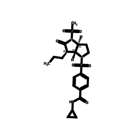 CCC[C@H]1C(=O)N(S(C)(=O)=O)[C@H]2CCN(S(=O)(=O)c3ccc(C(=O)NC4CC4)cc3)[C@H]12